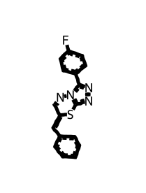 Fc1ccc(-c2nnc3n2N=C/C(=C/c2ccccc2)S3)cc1